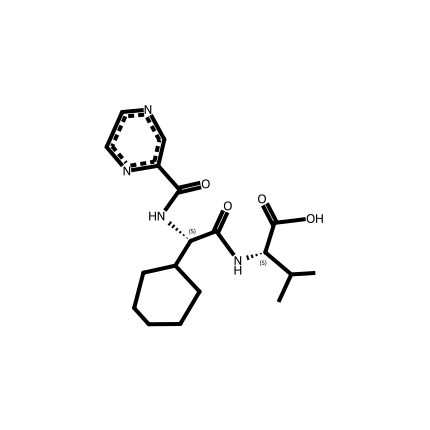 CC(C)[C@H](NC(=O)[C@@H](NC(=O)c1cnccn1)C1CCCCC1)C(=O)O